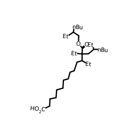 CCCCC(CC)COC(=O)C(CC)(CC(CC)CCCC)C(CC)CCCCCCCCCCC(=O)O